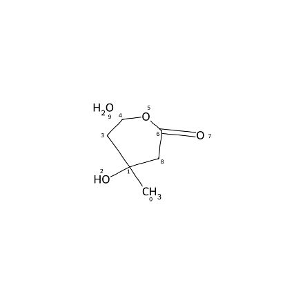 CC1(O)CCOC(=O)C1.O